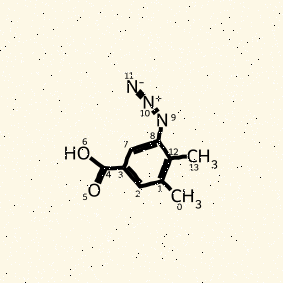 Cc1cc(C(=O)O)cc(N=[N+]=[N-])c1C